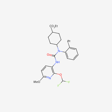 CCOC(=O)C1CCC(N(C(=O)Nc2ccc(OC)nc2OC(F)F)c2ccccc2C(C)C)CC1